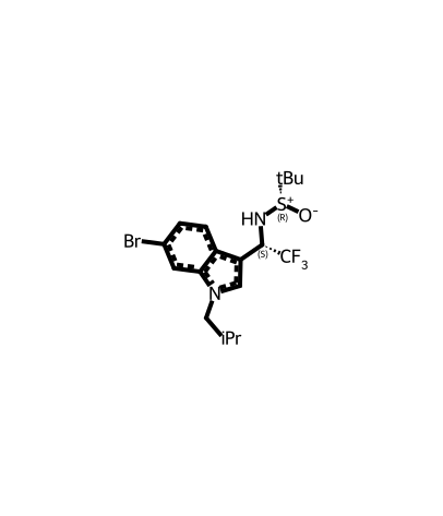 CC(C)Cn1cc([C@H](N[S@@+]([O-])C(C)(C)C)C(F)(F)F)c2ccc(Br)cc21